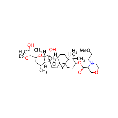 CCO[C@@H]([C@H]1C[C@@H](C)[C@H]2[C@H](O1)[C@H](O)[C@@]1(C)[C@@H]3CC[C@H]4C(C)(C)[C@@H](OC(=O)[C@@H]5COCCN5CCOC)CCC45C[C@@]35CC[C@]21C)C(C)(C)O